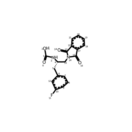 O=C(O)N[C@@H](Cc1cccc(F)c1)CN1C(=O)c2ccccc2C1=O